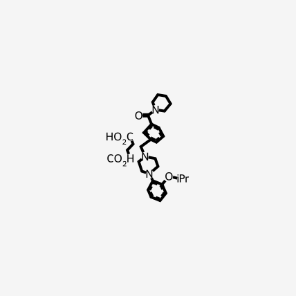 CC(C)Oc1ccccc1N1CCN(Cc2cccc(C(=O)N3CCCCC3)c2)CC1.O=C(O)CCC(=O)O